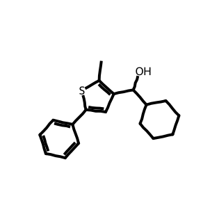 Cc1sc(-c2ccccc2)cc1C(O)C1CCCCC1